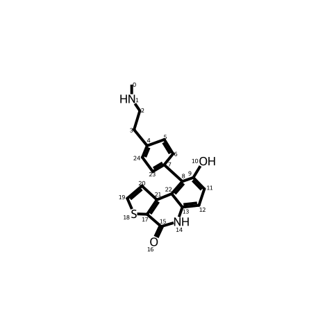 CNCCc1ccc(-c2c(O)ccc3[nH]c(=O)c4sccc4c23)cc1